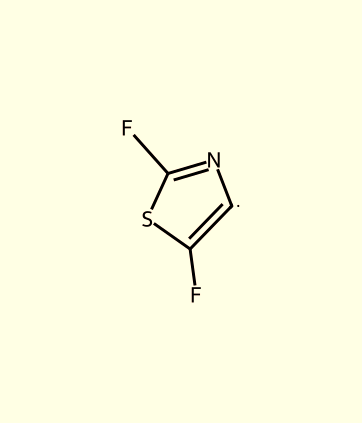 Fc1[c]nc(F)s1